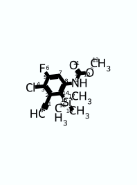 C#Cc1c(Cl)c(F)cc(NC(=O)OC)c1[Si](C)(C)C